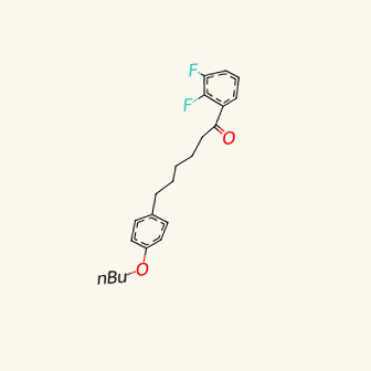 CCCCOc1ccc(CCCCCC(=O)c2cccc(F)c2F)cc1